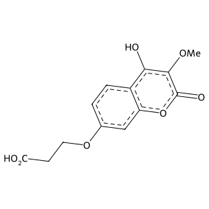 COc1c(O)c2ccc(OCCC(=O)O)cc2oc1=O